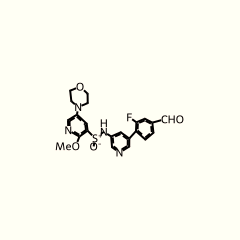 COc1ncc(N2CCOCC2)cc1[S+]([O-])Nc1cncc(-c2ccc(C=O)cc2F)c1